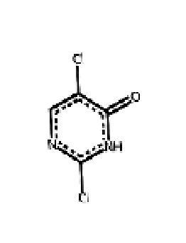 O=c1[nH]c(Cl)ncc1Cl